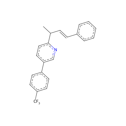 CC(/C=C/c1ccccc1)c1ccc(-c2ccc(C(F)(F)F)cc2)cn1